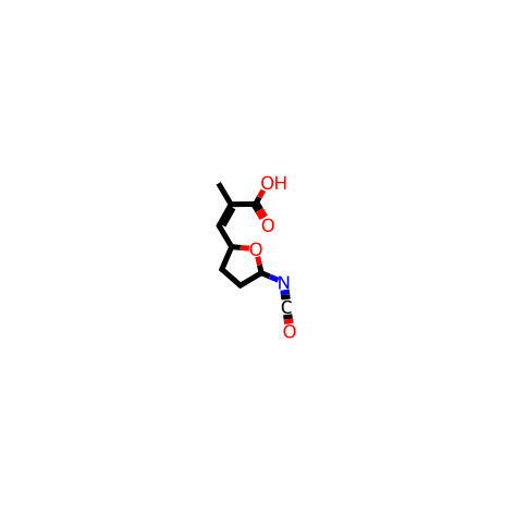 CC(=CC1CCC(N=C=O)O1)C(=O)O